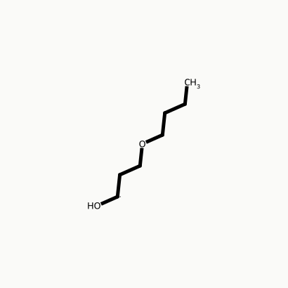 CCCCOCC[CH]O